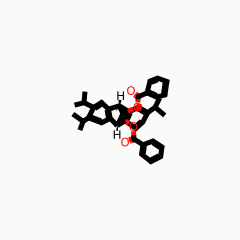 CC(C)c1ccc2c(c1)[C@H]1c3cc(C(C)C)c(C(C)C)cc3[C@H]2C(OC(=O)c2ccccc2)C1OC(=O)c1ccccc1